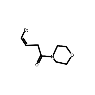 CC/C=C\CC(=O)N1CCOCC1